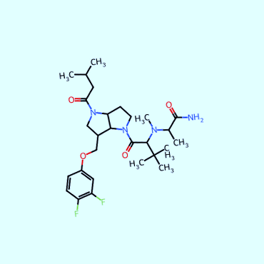 CC(C)CC(=O)N1CC(COc2ccc(F)c(F)c2)C2C1CCN2C(=O)C(N(C)C(C)C(N)=O)C(C)(C)C